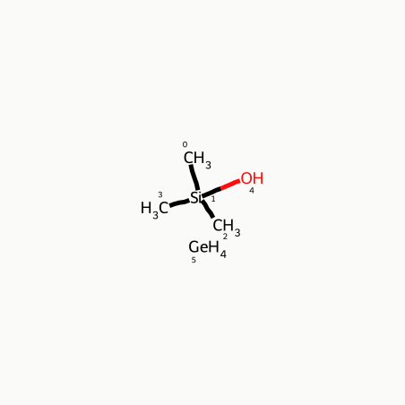 C[Si](C)(C)O.[GeH4]